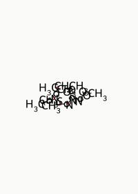 CCOC(=O)c1ccnc(-c2cc(C(=O)OCC)cc(-c3cc(-c4ccc(N(c5ccc(C(C)(C)C)cc5)c5ccc(C(C)(C)C)cc5)s4)ccn3)n2)c1